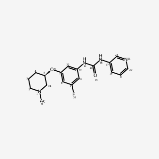 CC(=O)N1CCC[C@@H](Oc2cc(F)cc(NC(=O)Nc3cccnc3)c2)C1